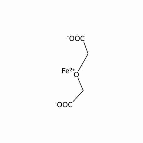 O=C([O-])COCC(=O)[O-].[Fe+2]